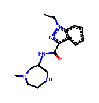 CCn1nc(C(=O)NC2CNCCN(C)C2)c2ccccc21